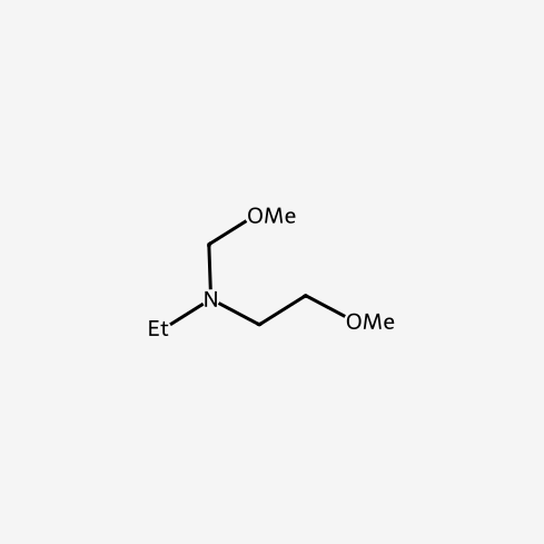 CCN(CCOC)COC